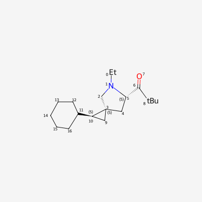 CCN1C[C@]2(C[C@H]1C(=O)C(C)(C)C)C[C@H]2C1CCCCC1